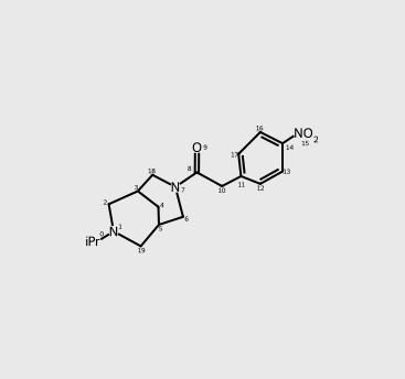 CC(C)N1CC2CC(CN(C(=O)Cc3ccc([N+](=O)[O-])cc3)C2)C1